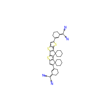 N#CC(C#N)=C1C=C(C2=Cc3sc4c(c3C23CCCCC3)C2(CCCCC2)c2c-4sc3cc(C4=CC(=C(C#N)C#N)CCC4)sc23)CCC1